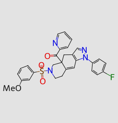 COc1cccc(S(=O)(=O)N2CCC3=Cc4c(cnn4-c4ccc(F)cc4)CC3(C(=O)c3ccccn3)C2)c1